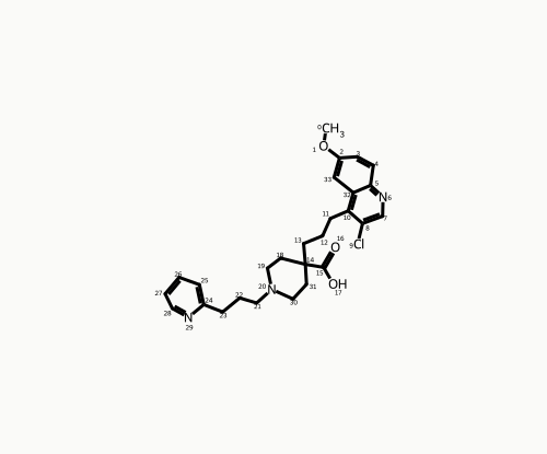 COc1ccc2ncc(Cl)c(CCCC3(C(=O)O)CCN(CCCc4ccccn4)CC3)c2c1